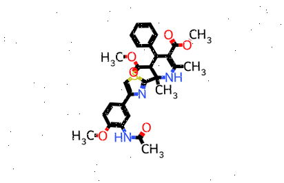 COC(=O)C1=C(C)NC(C)(c2nc(-c3ccc(OC)c(NC(C)=O)c3)cs2)C(C(=O)OC)C1c1ccccc1